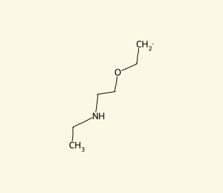 [CH2]COCCNCC